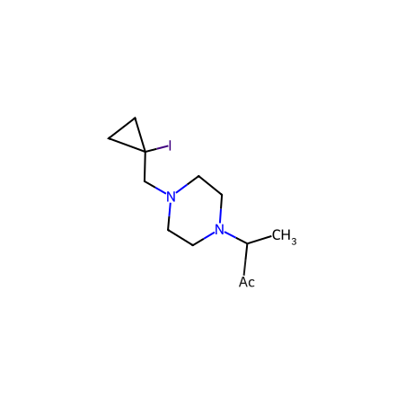 CC(=O)C(C)N1CCN(CC2(I)CC2)CC1